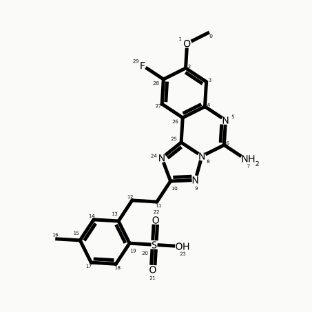 COc1cc2nc(N)n3nc(CCc4cc(C)ccc4S(=O)(=O)O)nc3c2cc1F